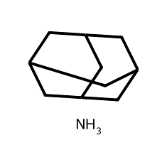 C1C2CC3CC1CC(C2)C3.N